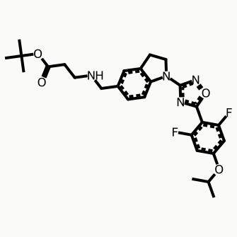 CC(C)Oc1cc(F)c(-c2nc(N3CCc4cc(CNCCC(=O)OC(C)(C)C)ccc43)no2)c(F)c1